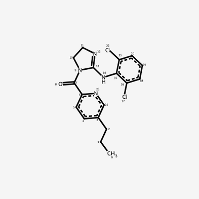 CCCc1ccc(C(=O)N2CCN=C2Nc2c(Cl)cccc2Cl)nc1